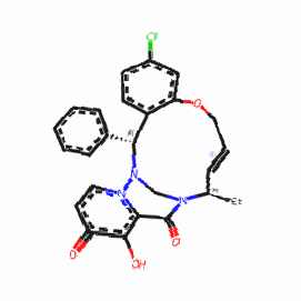 CC[C@@H]1/C=C/COc2cc(Cl)ccc2[C@@H](c2ccccc2)N2CN1C(=O)c1c(O)c(=O)ccn12